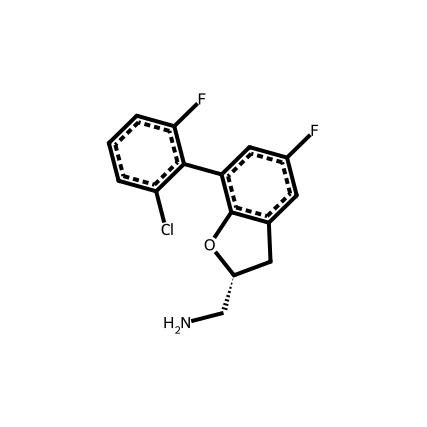 NC[C@H]1Cc2cc(F)cc(-c3c(F)cccc3Cl)c2O1